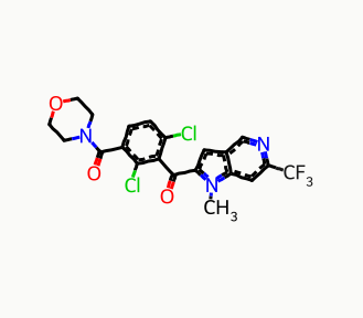 Cn1c(C(=O)c2c(Cl)ccc(C(=O)N3CCOCC3)c2Cl)cc2cnc(C(F)(F)F)cc21